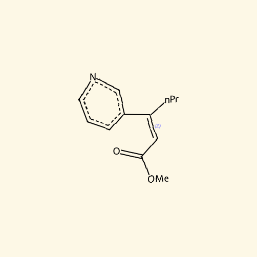 CCC/C(=C/C(=O)OC)c1cccnc1